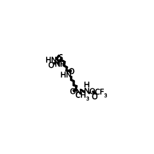 CN(CCNCOC(=O)C(F)(F)F)C(=O)CCCCCNC(=O)CCCCC1SCC2NC(=O)NC21